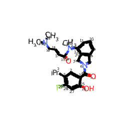 CC(C)c1cc(C(=O)N2Cc3cccc(N(C)C(=O)/C=C/CN(C)C)c3C2)c(O)cc1F